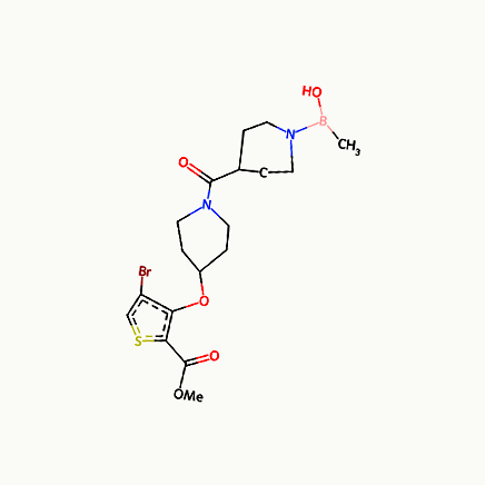 COC(=O)c1scc(Br)c1OC1CCN(C(=O)C2CCN(B(C)O)CC2)CC1